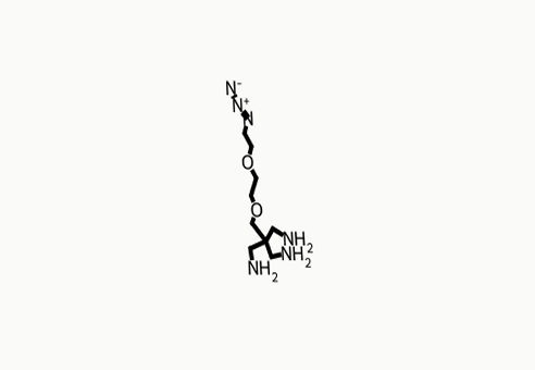 [N-]=[N+]=NCCOCCOCC(CN)(CN)CN